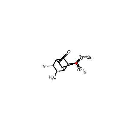 CC1C(Br)C2CC(C(N)=O)C1N(C(=O)OC(C)(C)C)C2=O